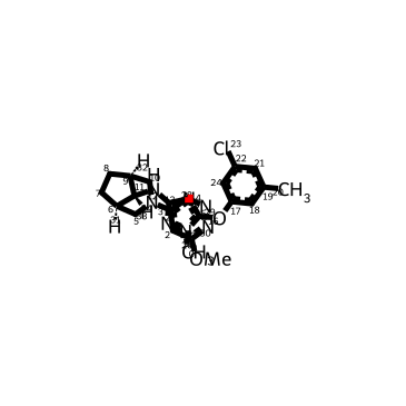 COc1cc(N2C[C@H]3CC[C@@H](C2)[C@@H]3Nc2nc(Oc3cc(C)cc(Cl)c3)n(C)n2)cnn1